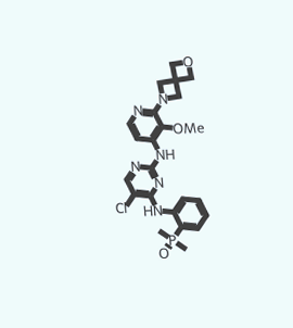 COc1c(Nc2ncc(Cl)c(Nc3ccccc3P(C)(C)=O)n2)ccnc1N1CC2(COC2)C1